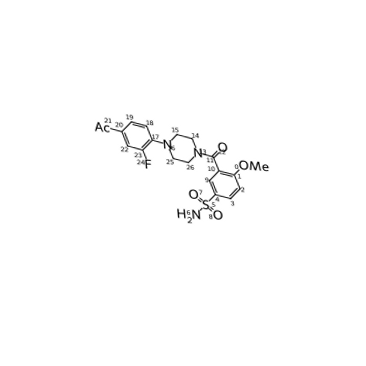 COc1ccc(S(N)(=O)=O)cc1C(=O)N1CCN(c2ccc(C(C)=O)cc2F)CC1